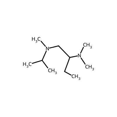 CCC(CN(C)C(C)C)N(C)C